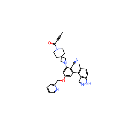 CC#CC(=O)N1CCC2(CC1)CN(c1cc(OCc3ccccn3)cc(-c3c(C)ccc4[nH]ncc34)c1C#N)C2